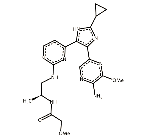 COCC(=O)N[C@@H](C)CNc1nccc(-c2[nH]c(C3CC3)nc2-c2cnc(N)c(OC)n2)n1